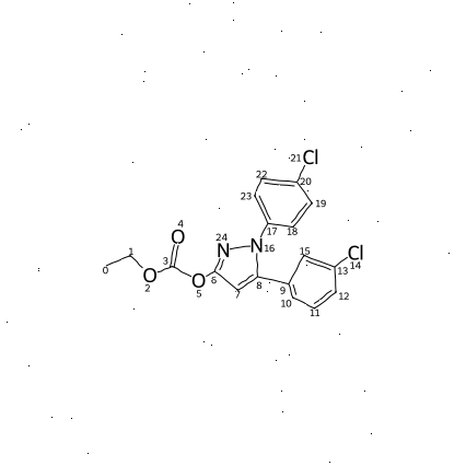 CCOC(=O)Oc1cc(-c2cccc(Cl)c2)n(-c2ccc(Cl)cc2)n1